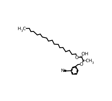 CCCCCCCCCCCCCCCCCCO[C@H](O)[C@H](C)OCc1cccc(C#N)c1